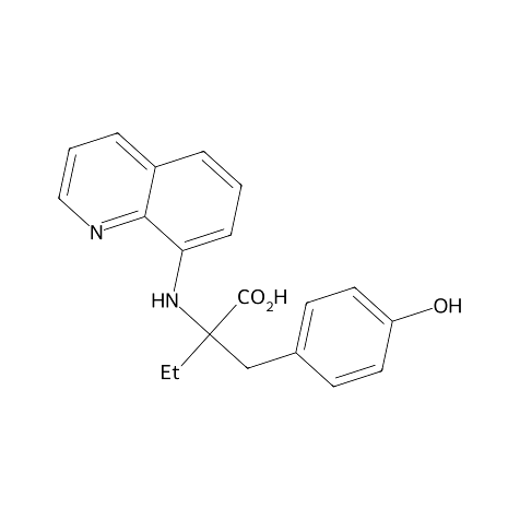 CCC(Cc1ccc(O)cc1)(Nc1cccc2cccnc12)C(=O)O